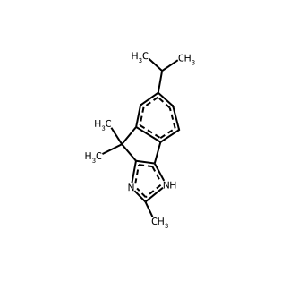 Cc1nc2c([nH]1)-c1ccc(C(C)C)cc1C2(C)C